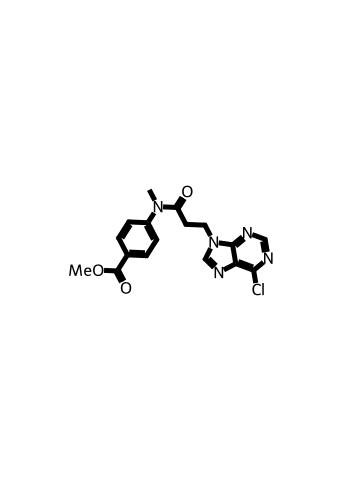 COC(=O)c1ccc(N(C)C(=O)CCn2cnc3c(Cl)ncnc32)cc1